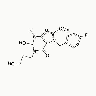 COc1nc2c(n1Cc1ccc(F)cc1)C(=O)N(CCCO)C(O)N2C